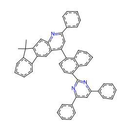 CC1(C)c2ccccc2-c2cc3c(-c4ccc(-c5nc(-c6ccccc6)cc(-c6ccccc6)n5)c5ccccc45)cc(-c4ccccc4)nc3cc21